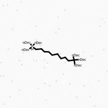 CCCCCCCCCCC(CCCCCCCCCC)(CCCCCCCCCC)CCCCCCCCC[PH](CCCCCCCCCC)(CCCCCCCCCC)CCCCCCCCCC